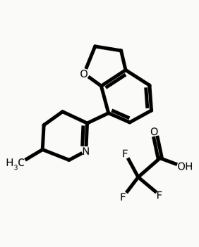 CC1CCC(c2cccc3c2OCC3)=NC1.O=C(O)C(F)(F)F